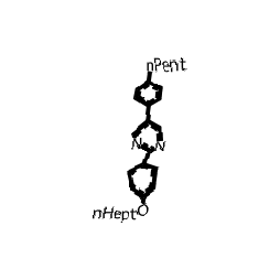 CCCCCCCOc1ccc(-c2ncc(-c3ccc(CCCCC)cc3)cn2)cc1